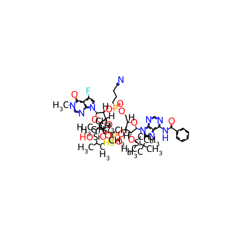 CC(C)[Si](O)(O[Si](O[C@H]1[C@H]2OP(=O)(CCCC#N)OC[C@H]3O[C@@H](n4cnc5c(NC(=O)c6ccccc6)ncnc54)[C@H](O[Si](C)(C)C(C)(C)C)[C@@H]3OP(=O)(S)OC[C@H]1O[C@H]2n1cc(F)c2c(=O)n(C)cnc21)(C(C)C)C(C)C)C(C)C